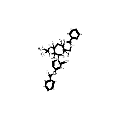 CC1(C)O[C@H]2[C@H](n3ccc(NC(=O)c4ccccc4)nc3=O)O[C@@H]3COC(c4ccccc4)O[C@H]3C[C@H]2O1